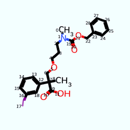 CN(CCCOCC(C)(C(=O)O)c1cccc(I)c1)C(=O)OCc1ccccc1